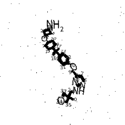 CC1(CNc2nccc(COc3ccc(C(C)(C)c4ccc(OC5CC(N)C5)cc4)cc3)n2)COC1